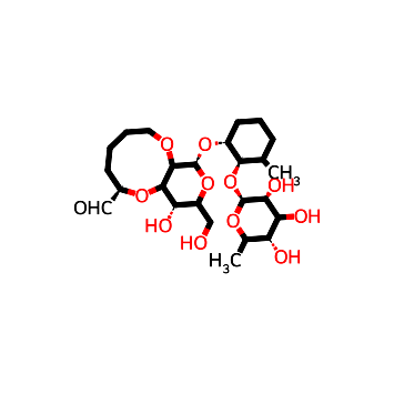 CC1O[C@@H](O[C@@H]2C(C)CCC[C@H]2O[C@@H]2OC(CO)[C@H](O)C3O[C@@H](C=O)CCCCOC32)[C@@H](O)C(O)[C@@H]1O